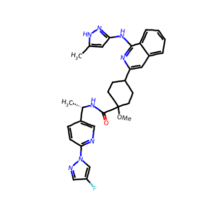 COC1(C(=O)N[C@@H](C)c2ccc(-n3cc(F)cn3)nc2)CCC(c2cc3ccccc3c(Nc3cc(C)[nH]n3)n2)CC1